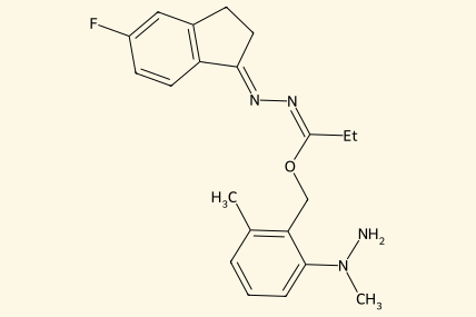 CCC(=NN=C1CCc2cc(F)ccc21)OCc1c(C)cccc1N(C)N